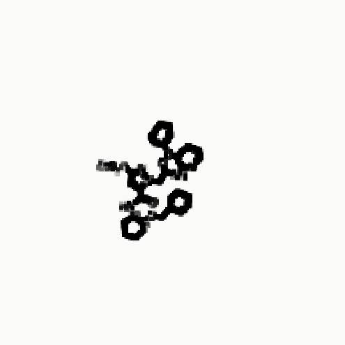 CCOC(=O)c1cc(C(=O)N[C@H]2CCCC[C@@H]2OCc2ccccc2)n(CC(=O)Nc2ncccc2Oc2ccccc2)n1